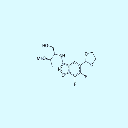 CO[C@H](C)[C@@H](CO)Nc1noc2c(F)c(F)c(C3OCCO3)cc12